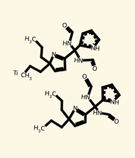 CCCC1(CCC)C=CC(C(NC=O)(NC=O)c2ccc[nH]2)=N1.CCCC1(CCC)C=CC(C(NC=O)(NC=O)c2ccc[nH]2)=N1.[Ti]